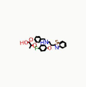 CC(Oc1cccc(CNCC(Oc2ccc(F)cc2)c2nc3ccccc3s2)c1)C(=O)O